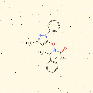 CCCC(=O)N(Oc1cc(C)nn1-c1ccccc1)C(C)c1ccccc1